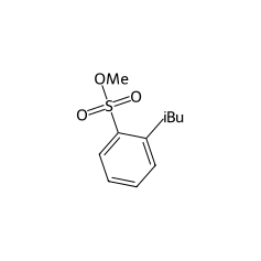 CCC(C)c1ccccc1S(=O)(=O)OC